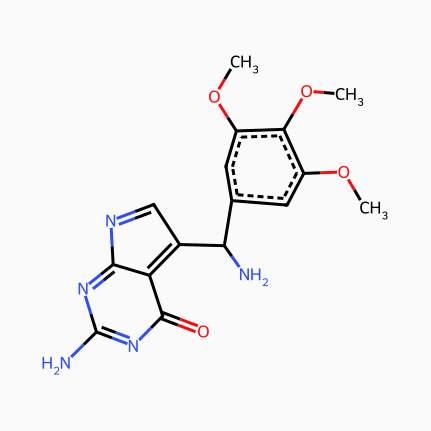 COc1cc(C(N)C2=C3C(=O)N=C(N)N=C3N=C2)cc(OC)c1OC